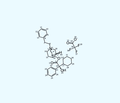 O=C(O[C@H]1C[N+]2(CCc3ccccc3)CCC1CC2)[C@@](O)(c1ccccc1)C1CCCCC1.O=C([O-])C(F)(F)F